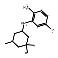 CC1CC(Nc2cc(Br)ccc2N)CC(C)(C)C1